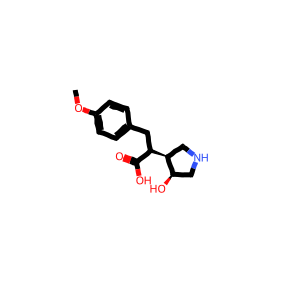 COc1ccc(CC(C(=O)O)[C@H]2CNC[C@H]2O)cc1